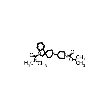 CC(C)OC(=O)N1CCC(N2CCC3(CC2)CN(C(=O)N(C)C)c2ccccc23)CC1